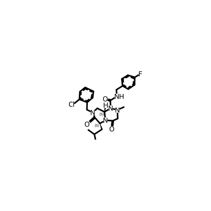 CC(C)C[C@H]1C(=O)N(Cc2ccccc2Cl)C[C@H]2N1C(=O)CN(C)N2C(=O)NCc1ccc(F)cc1